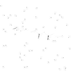 CCOC(=O)CC(=O)COCCC=O